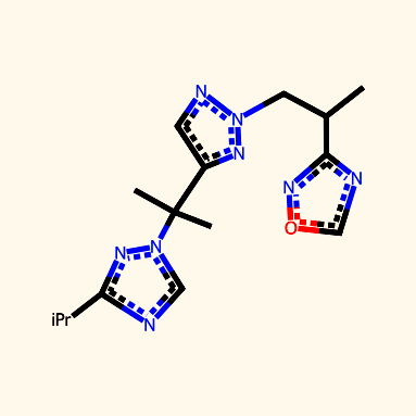 CC(C)c1ncn(C(C)(C)c2cnn(CC(C)c3ncon3)n2)n1